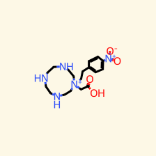 O=C(O)C[N+]1(CCc2ccc([N+](=O)[O-])cc2)CCNCCNCCNCC1